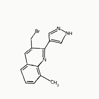 Cc1cccc2cc(CBr)c(-c3cn[nH]c3)nc12